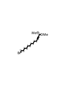 COC(C#CCCCCCCCCCCBr)OC